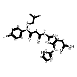 CC(C)CON(C(=O)CC(=O)Nc1nc(CC(=O)O)c(Sc2ncc[nH]2)s1)c1ccc(F)cc1